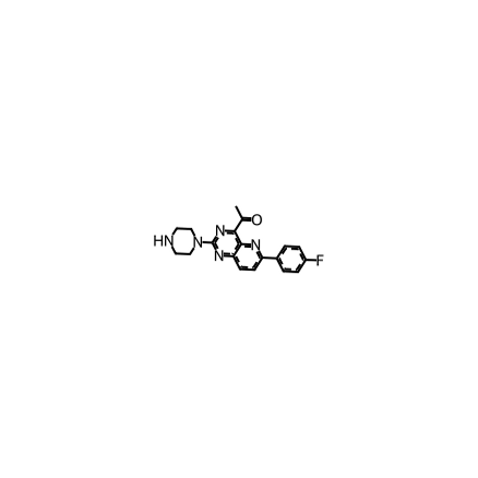 CC(=O)c1nc(N2CCNCC2)nc2ccc(-c3ccc(F)cc3)nc12